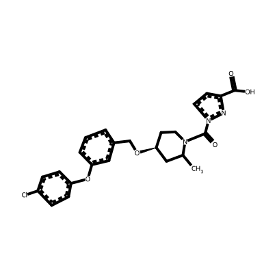 CC1C[C@@H](OCc2cccc(Oc3ccc(Cl)cc3)c2)CCN1C(=O)n1ccc(C(=O)O)n1